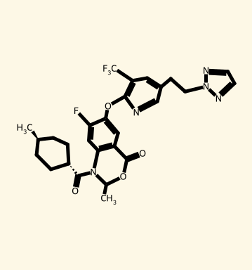 CC1OC(=O)c2cc(Oc3ncc(CCn4nccn4)cc3C(F)(F)F)c(F)cc2N1C(=O)[C@H]1CC[C@H](C)CC1